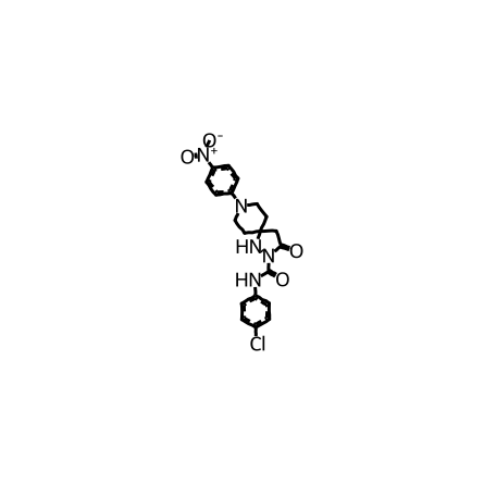 O=C1CC2(CCN(c3ccc([N+](=O)[O-])cc3)CC2)NN1C(=O)Nc1ccc(Cl)cc1